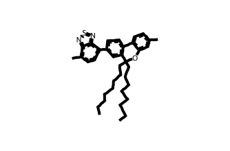 CCCCCCCCC1(CCCCCCCC)Oc2cc(C)ccc2-c2ccc(-c3ccc(C)c4nsnc34)cc21